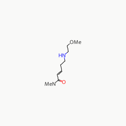 CNC(=O)/C=C/CCNCCOC